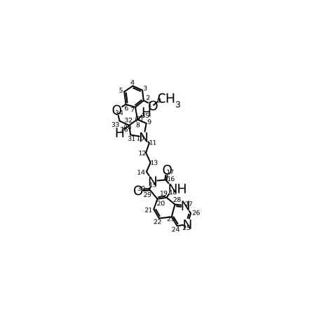 COc1cccc2c1[C@@H]1CN(CCCCn3c(=O)[nH]c4c(ccc5cncnc54)c3=O)C[C@@H]1CO2